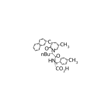 CCCCC(C(=O)N[C@@H](CC(=O)O)c1ccc(C)cc1)n1cc(C)cc(Cc2ccc3ccccc3c2)c1=O